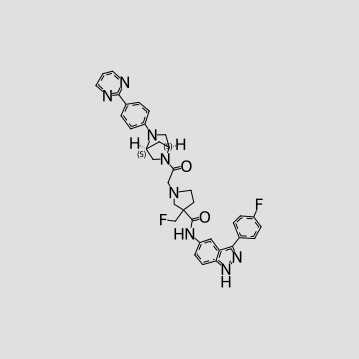 O=C(CN1CCC(CF)(C(=O)Nc2ccc3[nH]nc(-c4ccc(F)cc4)c3c2)C1)N1C[C@@H]2C[C@H]1CN2c1ccc(-c2ncccn2)cc1